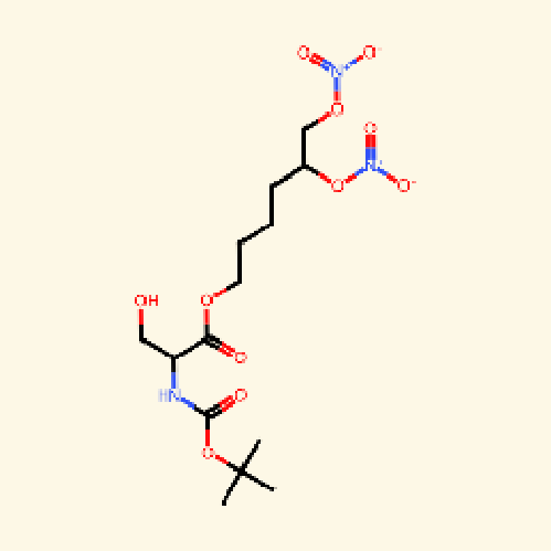 CC(C)(C)OC(=O)NC(CO)C(=O)OCCCCC(CO[N+](=O)[O-])O[N+](=O)[O-]